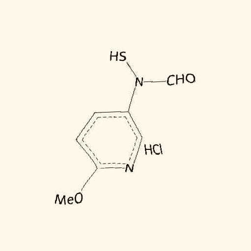 COc1ccc(N(S)C=O)cn1.Cl